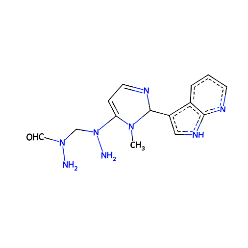 CN1C(N(N)CN(N)C=O)=CC=NC1c1c[nH]c2ncccc12